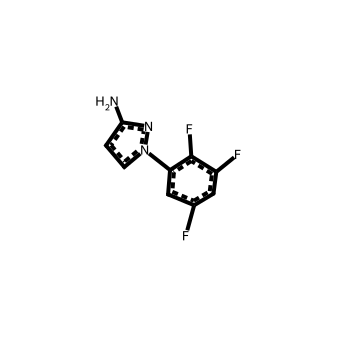 Nc1ccn(-c2cc(F)cc(F)c2F)n1